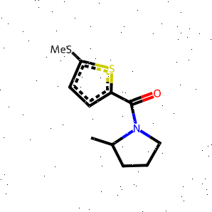 CSc1ccc(C(=O)N2CCCC2C)s1